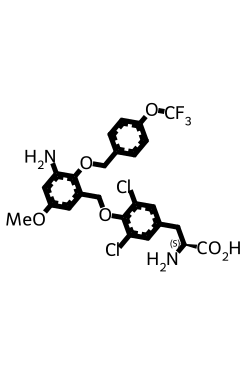 COc1cc(N)c(OCc2ccc(OC(F)(F)F)cc2)c(COc2c(Cl)cc(C[C@H](N)C(=O)O)cc2Cl)c1